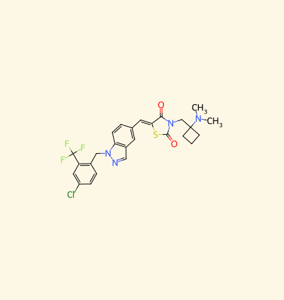 CN(C)C1(CN2C(=O)SC(=Cc3ccc4c(cnn4Cc4ccc(Cl)cc4C(F)(F)F)c3)C2=O)CCC1